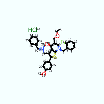 CCOCc1cn(Cc2ccccc2F)c2sc(-c3ccc(OC)cc3)c(CN(C)Cc3ccccc3)c2c1=O.Cl